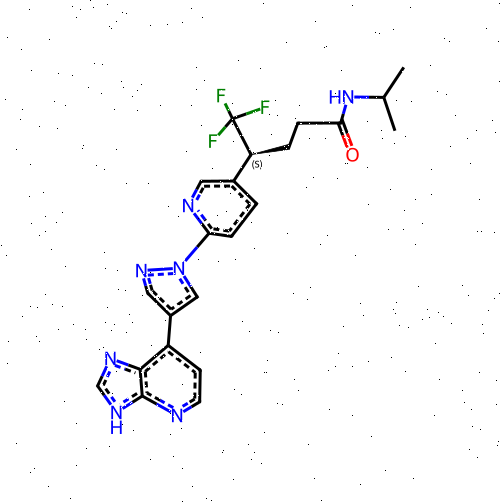 CC(C)NC(=O)CC[C@@H](c1ccc(-n2cc(-c3ccnc4[nH]cnc34)cn2)nc1)C(F)(F)F